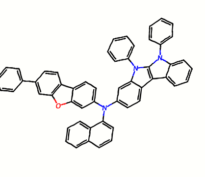 c1ccc(-c2ccc3c(c2)oc2cc(N(c4ccc5c6c7ccccc7n(-c7ccccc7)c6n(-c6ccccc6)c5c4)c4cccc5ccccc45)ccc23)cc1